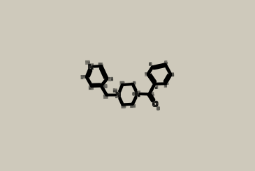 O=C(c1[c]cccc1)N1CCN(Cc2ccncc2)CC1